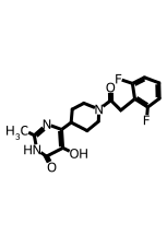 Cc1nc(C2CCN(C(=O)Cc3c(F)cccc3F)CC2)c(O)c(=O)[nH]1